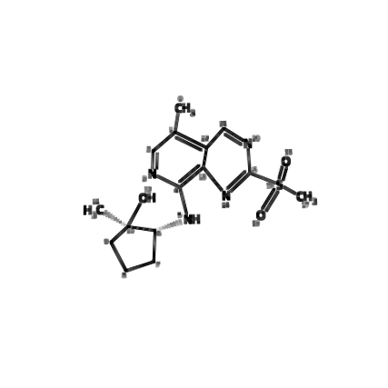 Cc1cnc(N[C@@H]2CCC[C@@]2(C)O)c2nc(S(C)(=O)=O)ncc12